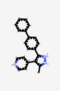 Cc1n[nH]c(-c2ccc(-c3ccccc3)cc2)c1-c1ccncc1